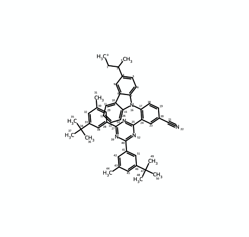 CCC(C)c1ccc2c(c1)c1ccccc1n2-c1ccc(C#N)cc1-c1nc(-c2cc(C)cc(C(C)(C)C)c2)nc(-c2cc(C)cc(C(C)(C)C)c2)n1